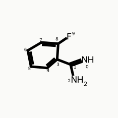 N=C(N)c1ccccc1F